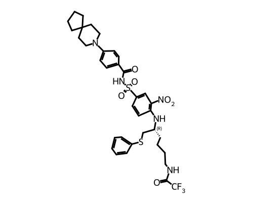 O=C(NS(=O)(=O)c1ccc(N[C@H](CCCCNC(=O)C(F)(F)F)CSc2ccccc2)c([N+](=O)[O-])c1)c1ccc(N2CCC3(CCCC3)CC2)cc1